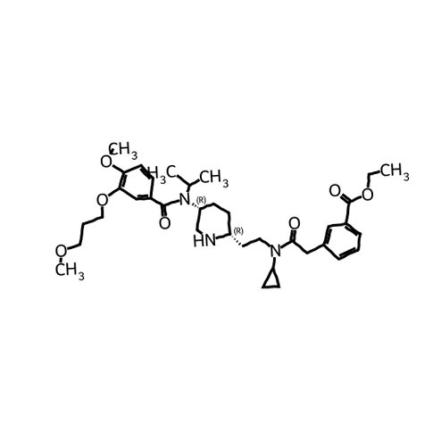 CCOC(=O)c1cccc(CC(=O)N(CC[C@H]2CC[C@@H](N(C(=O)c3ccc(OC)c(OCCCOC)c3)C(C)C)CN2)C2CC2)c1